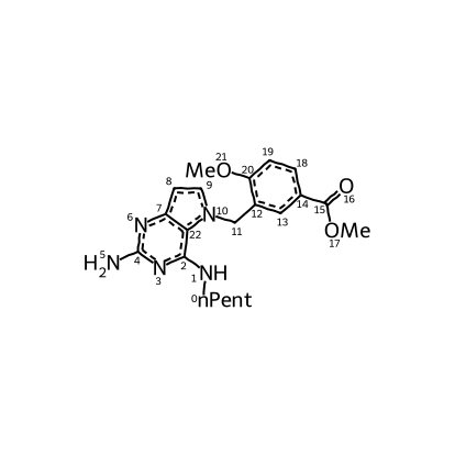 CCCCCNc1nc(N)nc2ccn(Cc3cc(C(=O)OC)ccc3OC)c12